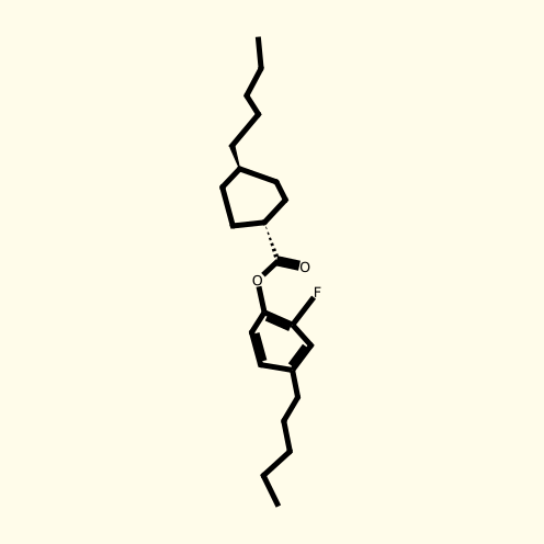 CCCCCc1ccc(OC(=O)[C@H]2CC[C@H](CCCCC)CC2)c(F)c1